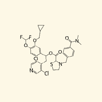 CN(C)C(=O)c1ccc(CN2CCSC2C(=O)OC(Cc2c(Cl)cncc2Cl)c2ccc(OC(F)F)c(OCC3CC3)c2)cc1